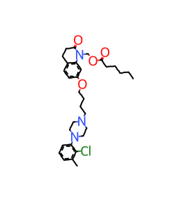 CCCCCC(=O)OCN1C(=O)CCc2ccc(OCCCCN3CCN(c4cccc(C)c4Cl)CC3)cc21